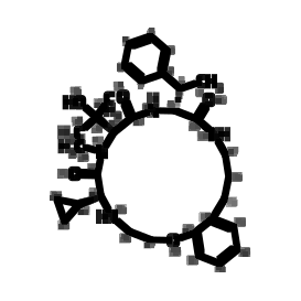 CC(c1ccccc1)[C@H]1NC(=O)[C@H](C(C)(C)O)N(C)C(=O)[C@H](C2CC2)NCCOc2ccccc2CCCNC1=O